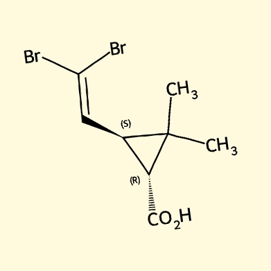 CC1(C)[C@H](C=C(Br)Br)[C@H]1C(=O)O